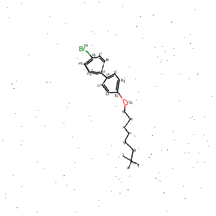 CC(C)(C)CCCCCCOc1ccc(-c2ccc(Br)cc2)cc1